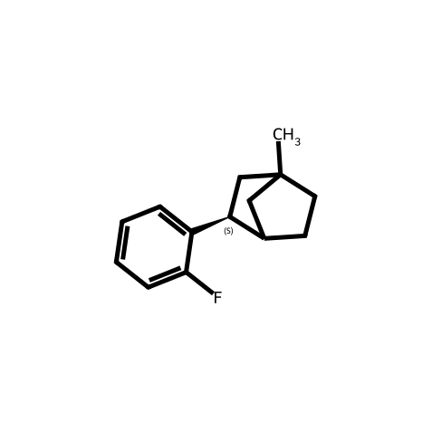 CC12CCC(C1)[C@@H](c1ccccc1F)C2